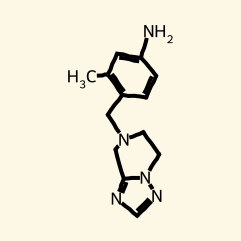 Cc1cc(N)ccc1CN1CCn2ncnc2C1